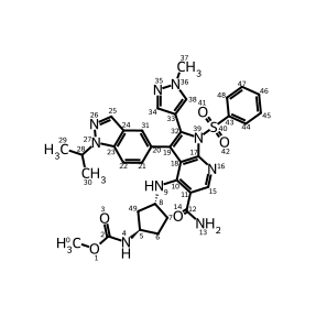 COC(=O)N[C@@H]1CC[C@@H](Nc2c(C(N)=O)cnc3c2c(-c2ccc4c(cnn4C(C)C)c2)c(-c2cnn(C)c2)n3S(=O)(=O)c2ccccc2)C1